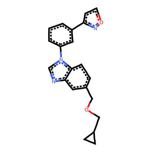 c1cc(-c2ccon2)cc(-n2cnc3cc(COCC4CC4)ccc32)c1